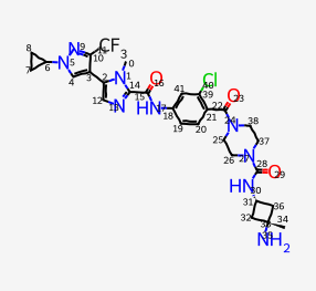 Cn1c(-c2cn(C3CC3)nc2C(F)(F)F)cnc1C(=O)Nc1ccc(C(=O)N2CCN(C(=O)N[C@H]3C[C@@](C)(N)C3)CC2)c(Cl)c1